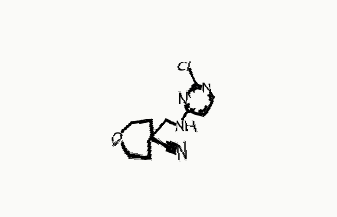 N#CC1(CNc2ccnc(Cl)n2)CCOCC1